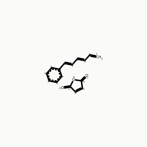 C=CC=CC=Cc1ccccc1.O=C1C=CC(=O)O1